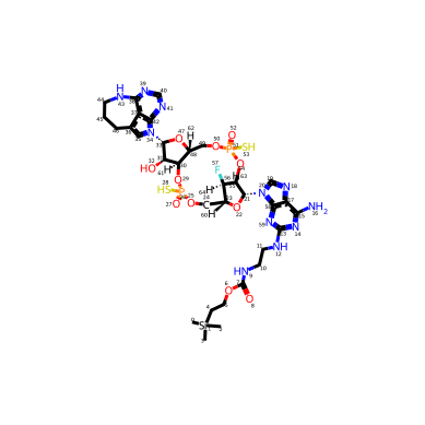 C[Si](C)(C)CCOC(=O)NCCNc1nc(N)c2ncn([C@@H]3O[C@@H]4COP(=O)(S)O[C@H]5[C@@H](O)[C@H](n6cc7c8c(ncnc86)NCCC7)O[C@@H]5COP(=O)(S)O[C@@H]3[C@@H]4F)c2n1